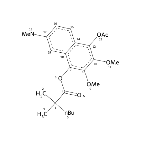 CCCCC(C)(C)C(=O)Oc1c(OC)c(OC)c(OC(C)=O)c2ccc(NC)cc12